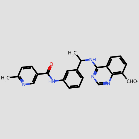 Cc1ccc(C(=O)Nc2cccc(C(C)Nc3ncnc4c([C]=O)cccc34)c2)cn1